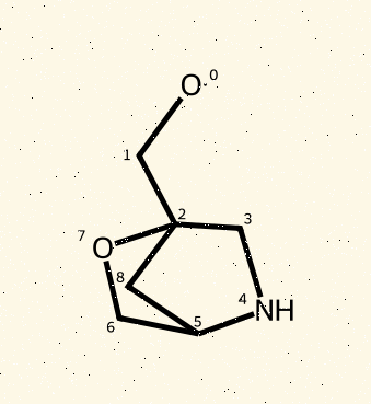 [O]CC12CNC(CO1)C2